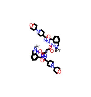 CC(C)N1Cc2cccc(-c3nnc(C4CCN(C5CCOCC5)CC4)o3)c2N1OC(=O)/C=C/C(=O)ON1c2c(cccc2-c2nnc(C3CCN(C4CCOCC4)CC3)o2)CN1C(C)C